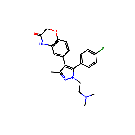 Cc1nn(CCN(C)C)c(-c2ccc(F)cc2)c1-c1ccc2c(c1)NC(=O)CO2